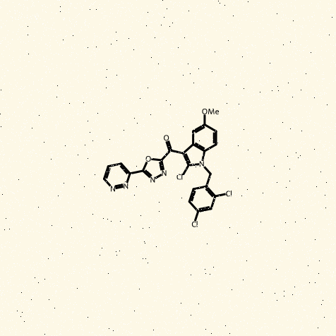 COc1ccc2c(c1)c(C(=O)c1nnc(-c3cccnn3)o1)c(Cl)n2Cc1ccc(Cl)cc1Cl